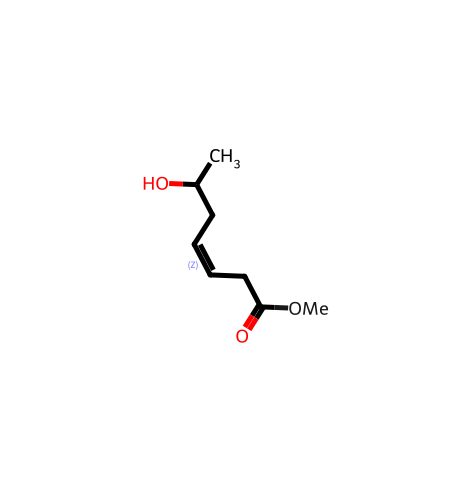 COC(=O)C/C=C\CC(C)O